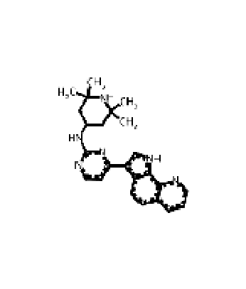 CC1(C)CC(Nc2nccc(-c3c[nH]c4c3ccc3cccnc34)n2)CC(C)(C)N1